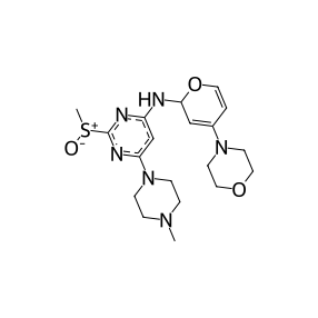 CN1CCN(c2cc(NC3C=C(N4CCOCC4)C=CO3)nc([S+](C)[O-])n2)CC1